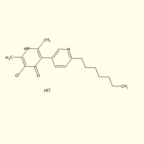 CCCCCCCc1ccc(-c2c(C)[nH]c(C)c(Cl)c2=O)cn1.Cl